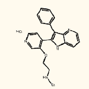 CCNCCOc1cnccc1-c1[nH]c2cccnc2c1-c1ccccc1.Cl